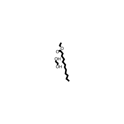 CCCCCCCCCCCC(=O)OCC.OCCO